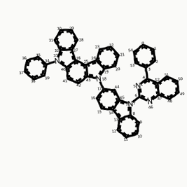 c1ccc(-c2nc(-n3c4ccccc4c4ccc(-n5c6ccccc6c6c7c8ccccc8n(-c8ccccc8)c7ccc65)cc43)nc3ccccc23)cc1